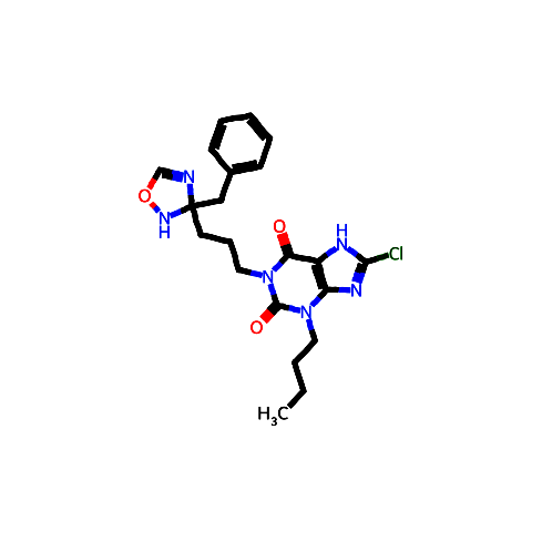 CCCCn1c(=O)n(CCCC2(Cc3ccccc3)N=CON2)c(=O)c2[nH]c(Cl)nc21